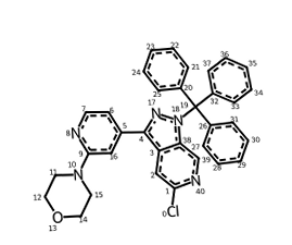 Clc1cc2c(-c3ccnc(N4CCOCC4)c3)nn(C(c3ccccc3)(c3ccccc3)c3ccccc3)c2cn1